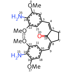 COc1cc(C=C2CCC(=Cc3cc(OC)c(N)c(OC)c3)C2=O)cc(OC)c1N